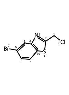 ClCc1nc2cc(Br)ccc2s1